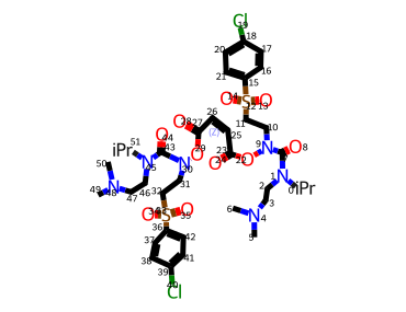 CC(C)N(CCN(C)C)C(=O)N(CCS(=O)(=O)c1ccc(Cl)cc1)OC(=O)/C=C\C(=O)ON(CCS(=O)(=O)c1ccc(Cl)cc1)C(=O)N(CCN(C)C)C(C)C